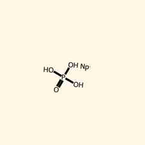 O=P(O)(O)O.[Np]